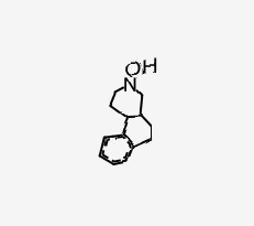 ON1CCC2c3ccccc3CCC2C1